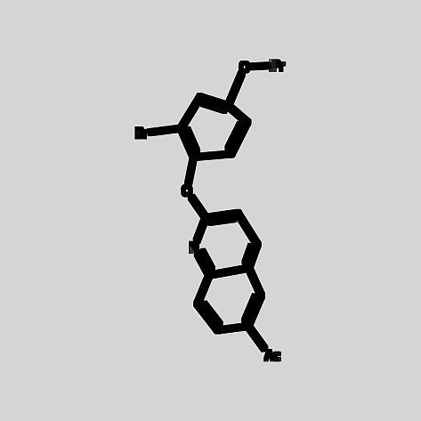 CC(=O)c1ccc2nc(Oc3ccc(OC(C)C)cc3Br)ccc2c1